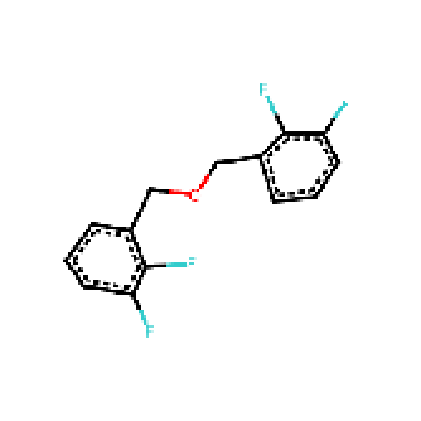 Fc1cccc(COCc2cccc(F)c2F)c1F